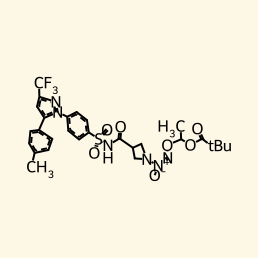 Cc1ccc(-c2cc(C(F)(F)F)nn2-c2ccc(S(=O)(=O)NC(=O)C3CN(/[N+]([O-])=N\OC(C)OC(=O)C(C)(C)C)C3)cc2)cc1